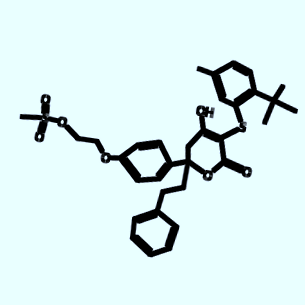 Cc1ccc(C(C)(C)C)c(SC2=C(O)CC(CCc3ccccc3)(c3ccc(OCCOS(C)(=O)=O)cc3)OC2=O)c1